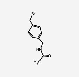 CC(=O)NCc1ccc(CBr)cc1